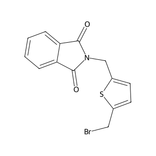 O=C1c2ccccc2C(=O)N1Cc1ccc(CBr)s1